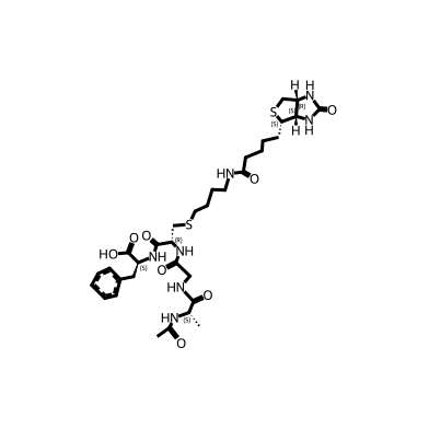 CC(=O)N[C@@H](C)C(=O)NCC(=O)N[C@@H](CSCCCCNC(=O)CCCC[C@@H]1SC[C@@H]2NC(=O)N[C@@H]21)C(=O)N[C@@H](Cc1ccccc1)C(=O)O